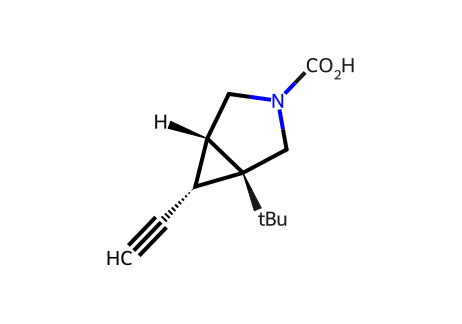 C#C[C@@H]1[C@@H]2CN(C(=O)O)C[C@]12C(C)(C)C